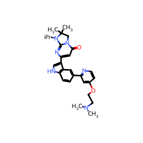 CC(C)N1c2nc(-c3c[nH]c4ccc(-c5cc(OCCN(C)C)ccn5)cc34)cc(=O)n2CC1(C)C